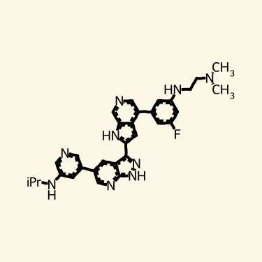 CC(C)Nc1cncc(-c2cnc3[nH]nc(-c4cc5c(-c6cc(F)cc(NCCN(C)C)c6)cncc5[nH]4)c3c2)c1